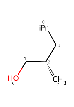 CC(C)C[C@H](C)CO